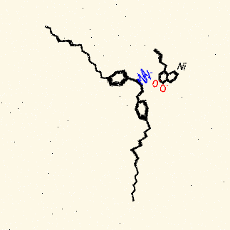 CCCCCCCCCCCCCCCc1ccc(C=CC2=C(c3ccc(CCCCCCCCCCCCCCC)cc3)[N+]2=[N-])cc1.CCCCc1cc([O-])c([O-])c2ccccc12.[Ni]